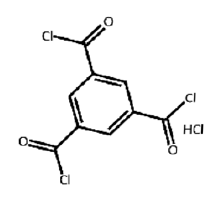 Cl.O=C(Cl)c1cc(C(=O)Cl)cc(C(=O)Cl)c1